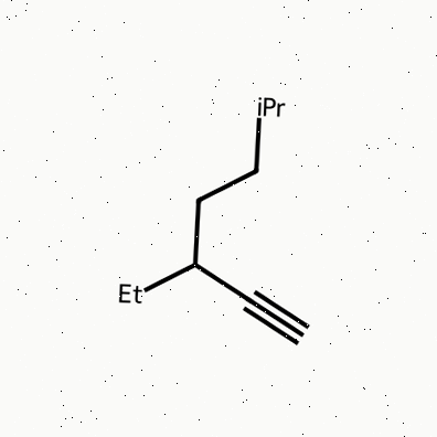 C#CC(CC)CCC([CH2])C